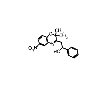 CC1(C)Oc2ccc([N+](=O)[O-])cc2N=C1CC(O)c1ccccc1